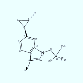 C[C@H]1C[C@@H]1c1ccc2c(F)cn(CC(F)(F)F)c2c1